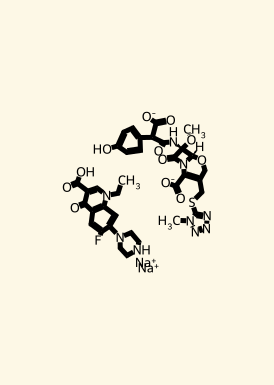 CCn1cc(C(=O)O)c(=O)c2cc(F)c(N3CCNCC3)cc21.CO[C@@]1(NC(=O)C(C(=O)[O-])c2ccc(O)cc2)C(=O)N2C(C(=O)[O-])=C(CSc3nnnn3C)CO[C@@H]21.[Na+].[Na+]